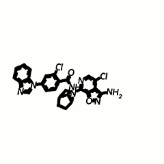 Nc1noc2c(N3CC4CCC3C4NC(=O)c3ccc(-n4cnc5ccccc54)cc3Cl)ncc(Cl)c12